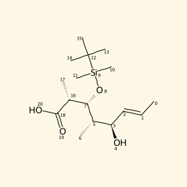 C/C=C/[C@@H](O)[C@H](C)[C@@H](O[Si](C)(C)C(C)(C)C)[C@@H](C)C(=O)O